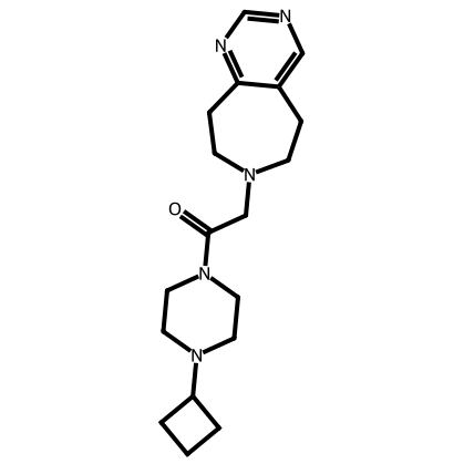 O=C(CN1CCc2cncnc2CC1)N1CCN(C2CCC2)CC1